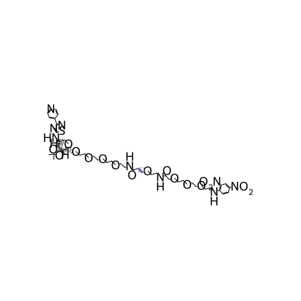 CC1(C)O[C@@H]2[C@H](O1)[C@@H](Nc1nc(-c3ccncc3)ns1)CO[C@@H]2COCCOCCOCCOCCNC(=O)/C=C/OCCNC(=O)COCCOCCOCCNc1ccc([N+](=O)[O-])cc1[N+](=O)[O-]